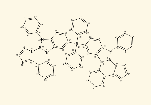 c1ccc(N2B3N(c4ccccc4-c4cccn43)c3cc([Si](c4ccccc4)(c4ccccc4)c4ccc5c(c4)N4B(N5c5ccccc5)n5ccnc5-c5ccccc54)ccc32)cc1